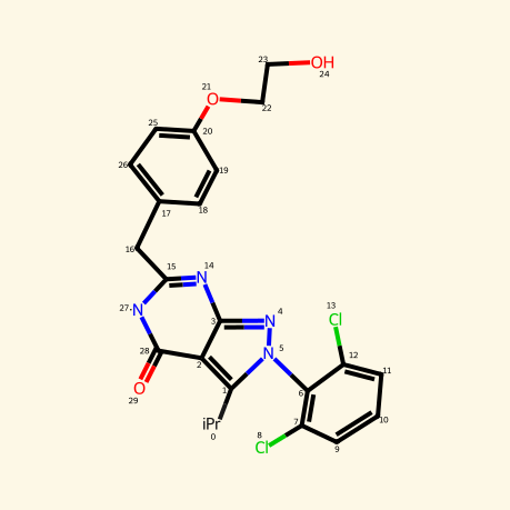 CC(C)c1c2c(nn1-c1c(Cl)cccc1Cl)N=C(Cc1ccc(OCCO)cc1)[N]C2=O